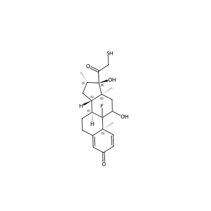 C[C@H]1C[C@H]2[C@@H]3CCC4=CC(=O)C=C[C@]4(C)C3(F)C(O)C[C@]2(C)[C@@]1(O)C(=O)CS